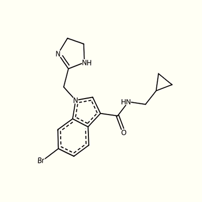 O=C(NCC1CC1)c1cn(CC2=NCCN2)c2cc(Br)ccc12